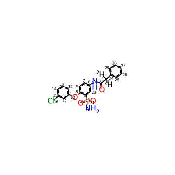 [2H]C([2H])(C(=O)Nc1ccc(Oc2cccc(Cl)c2)c(S(N)(=O)=O)c1)c1ccccc1